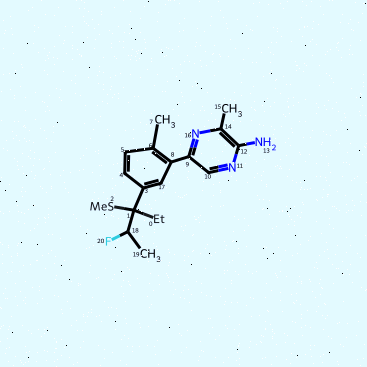 CCC(SC)(c1ccc(C)c(-c2cnc(N)c(C)n2)c1)C(C)F